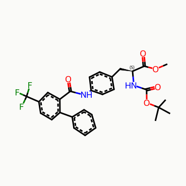 COC(=O)[C@H](Cc1ccc(NC(=O)c2cc(C(F)(F)F)ccc2-c2ccccc2)cc1)NC(=O)OC(C)(C)C